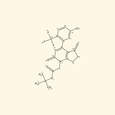 CC(C)(C)OC(=O)Cn1c2c(c(-c3cc(Cl)ccc3C(F)(F)F)cc1=O)C(=O)CC2